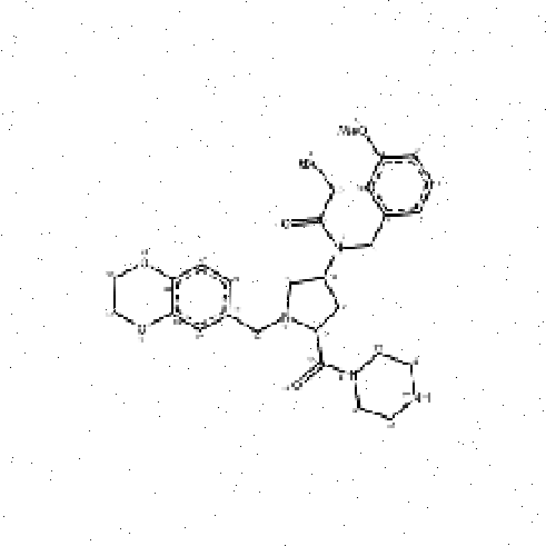 COc1cccc(CN(C(=O)CC(C)(C)C)C2CC(C(=O)N3CCNCC3)N(Cc3ccc4c(c3)OCCO4)C2)c1